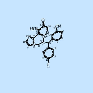 N#Cc1cccc(C(c2ccc(F)cc2)[C@H]2Cn3ccnc3-c3c(O)c(=O)cnn32)c1